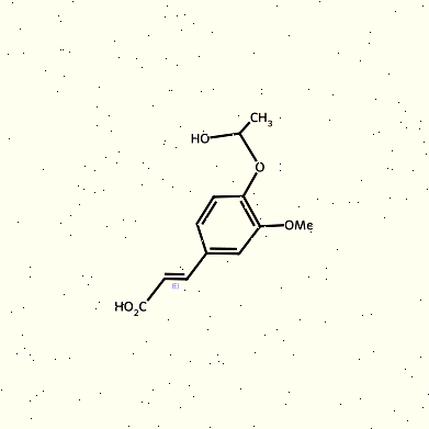 COc1cc(/C=C/C(=O)O)ccc1OC(C)O